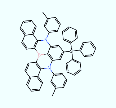 Cc1cccc(N2c3cc([Si](c4ccccc4)(c4ccccc4)c4ccccc4)cc4c3B(c3ccc5ccccc5c32)c2ccc3ccccc3c2N4c2cccc(C)c2)c1